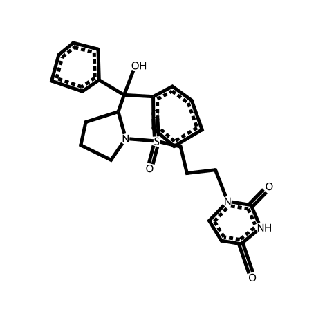 O=c1ccn(CCCS(=O)(=O)N2CCCC2C(O)(c2ccccc2)c2ccccc2)c(=O)[nH]1